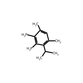 Cc1cc(C)c(C(C)C)c(P)c1P